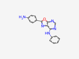 Nc1ccc(-c2nc3c(Nc4ccccc4)ncnc3o2)cc1